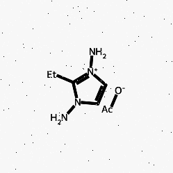 CC(=O)[O-].CCc1n(N)cc[n+]1N